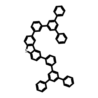 c1ccc(-c2cc(-c3ccccc3)cc(-c3cccc(-c4ccc5sc6ccc(-c7cccc(-c8cc(-c9ccccc9)cc(-c9ccccc9)c8)c7)cc6c5c4)c3)c2)cc1